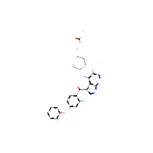 COC(=O)NC[C@@H]1CC[C@@H](Nc2c(OC)cnc3[nH]cc(C(=O)c4ccc(Oc5ccccc5F)cc4F)c23)CO1